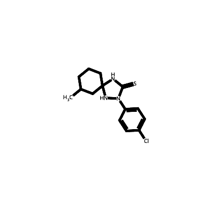 CC1CCCC2(C1)NC(=S)N(c1ccc(Cl)cc1)N2